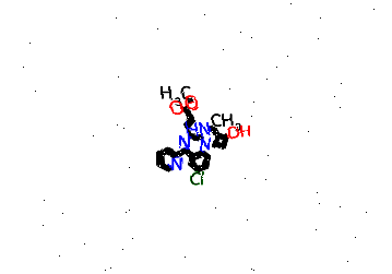 COC(=O)CC[C@@H]1N=C(c2ccccn2)c2cc(Cl)ccc2N=C1NC(C)C1CCC1O